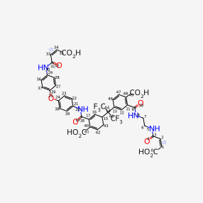 O=C(O)/C=C\C(=O)NCCNC(=O)c1cc(C(C2C=C(C(=O)Nc3ccc(Oc4ccc(NC(=O)/C=C\C(=O)O)cc4)cc3)C(C(=O)O)=CC2)(C(F)(F)F)C(F)(F)F)ccc1C(=O)O